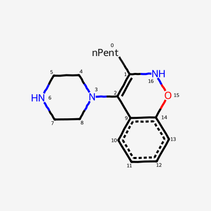 CCCCCC1=C(N2CCNCC2)c2ccccc2ON1